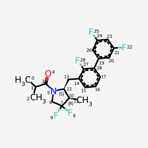 CC(C)C(=O)N1CC(F)(F)[C@H](C)[C@@H]1Cc1cccc(-c2cc(F)cc(F)c2)c1F